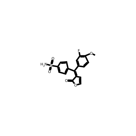 COc1ccc(C(=C2C=COC2=O)c2ccc(S(N)(=O)=O)cc2)cc1F